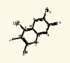 Cc1[nH]c2nc(=S)c(C)cc-2c(C)c1F